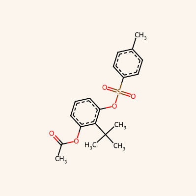 CC(=O)Oc1cccc(OS(=O)(=O)c2ccc(C)cc2)c1C(C)(C)C